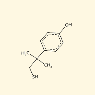 CC(C)(CS)c1ccc(O)cc1